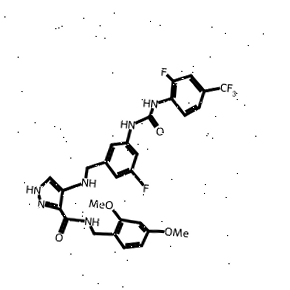 COc1ccc(CNC(=O)c2n[nH]cc2NCc2cc(F)cc(NC(=O)Nc3ccc(C(F)(F)F)cc3F)c2)c(OC)c1